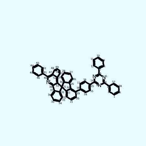 c1ccc(-c2nc(-c3ccccc3)nc(-c3ccc(-c4cccc5c4-c4ccccc4C54c5ccccc5-c5nc(-c6ccccc6)c6ccccc6c54)cc3)n2)cc1